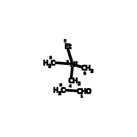 CC=O.CC[N+](C)(C)C